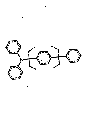 CCC(CC)(c1ccccc1)c1ccc(C(CC)(CC)N(c2ccccc2)c2ccccc2)cc1